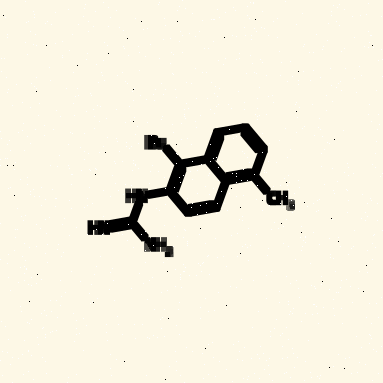 CCC(C)c1c(NC(=N)N)ccc2c(C)cccc12